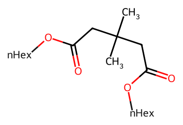 CCCCCCOC(=O)CC(C)(C)CC(=O)OCCCCCC